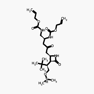 C=CCOC(=O)NC[C@H](CC(=O)C[C@H]1NC(=O)[C@H]1[C@@H](CO[SiH](C)C)C(C)(C)C)NC(=O)OCC=C